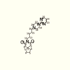 O=C1CC2(CCCC2)CC(=O)N1CCCCCN1CCN(c2ncccn2)CC1